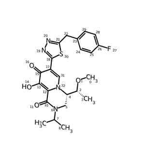 CO[C@H](C)[C@@H]1CN(C(C)C)C(=O)c2c(O)c(=O)c(-c3nnc(Cc4ccc(F)cc4)s3)cn21